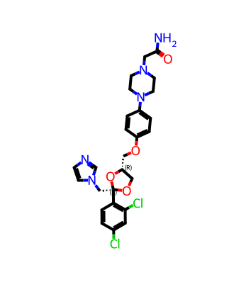 NC(=O)CN1CCN(c2ccc(OC[C@@H]3CO[C@@](Cn4ccnc4)(c4ccc(Cl)cc4Cl)O3)cc2)CC1